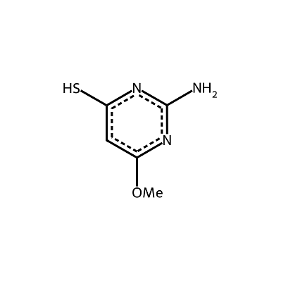 COc1cc(S)nc(N)n1